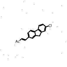 CC(=O)/C=C/c1ccc2c(c1)Cc1cc(Cl)ccc1-2